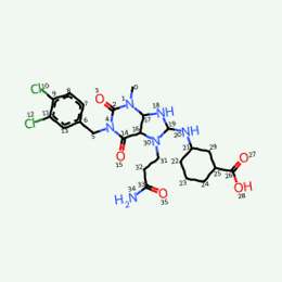 CN1C(=O)N(Cc2ccc(Cl)c(Cl)c2)C(=O)C2C1NC(NC1CCCC(C(=O)O)C1)N2CCC(N)=O